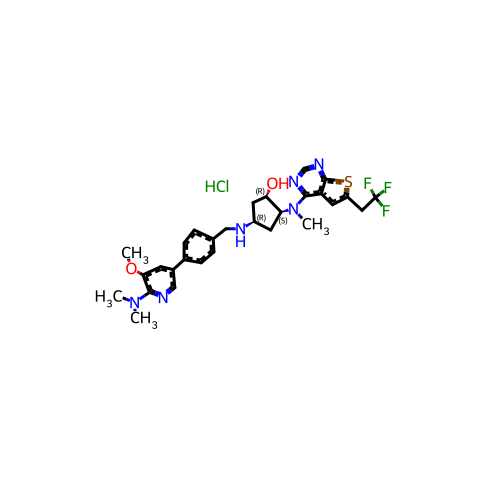 COc1cc(-c2ccc(CN[C@H]3C[C@@H](O)[C@@H](N(C)c4ncnc5sc(CC(F)(F)F)cc45)C3)cc2)cnc1N(C)C.Cl